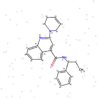 CCC(NC(=O)c1cc(N2CC=CCC2)nc2ccccc12)c1ccccc1